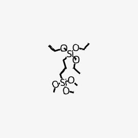 CCO[Si](CCC[Si](OC)(OC)OC)(OCC)OCC